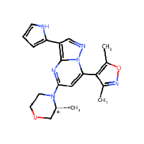 Cc1noc(C)c1-c1cc(N2CCOC[C@H]2C)nc2c(-c3ccc[nH]3)cnn12